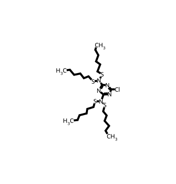 CCCCCCSN(SCCCCCC)c1nc(Cl)nc(N(SCCCCCC)SCCCCCC)n1